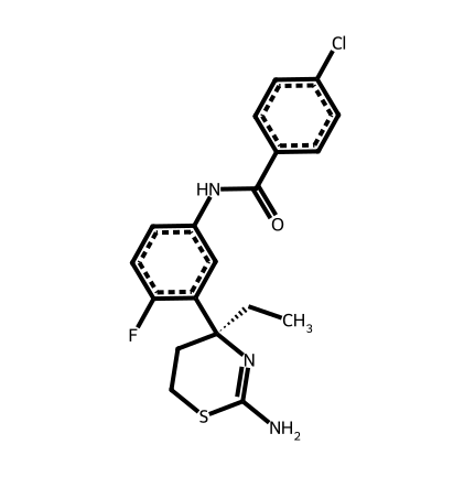 CC[C@@]1(c2cc(NC(=O)c3ccc(Cl)cc3)ccc2F)CCSC(N)=N1